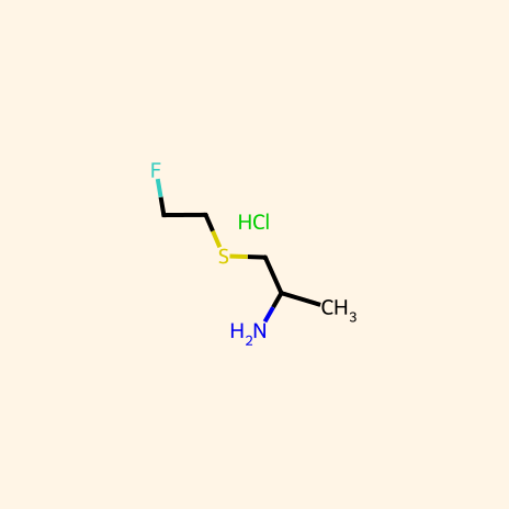 CC(N)CSCCF.Cl